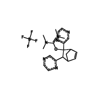 CN(C)C(OC1(c2cnccn2)C2C=CC(C2)C1c1cnccn1)=[N+](C)C.F[B-](F)(F)F